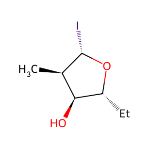 CC[C@H]1O[C@@H](I)[C@H](C)[C@@H]1O